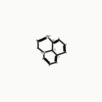 C1=CC2=CC=CN3CC=NC(=C1)C23